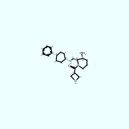 N[C@H]1CCCN(C(=O)C2COC2)[C@H]1CO[C@H]1CC[C@@H](c2ccccc2)CC1